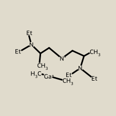 CCN(CC)C(C)C[N-]CC(C)N(CC)CC.[CH3][Ga+][CH3]